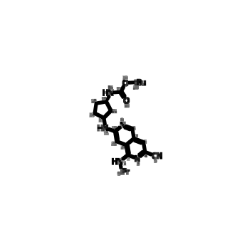 CC(C)Nc1nc(C#N)cc2cnc(NC3CC[C@@H](NC(=O)OC(C)(C)C)C3)cc12